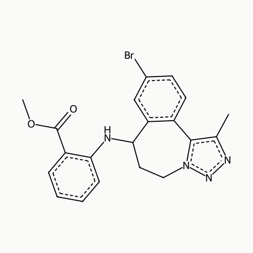 COC(=O)c1ccccc1NC1CCn2nnc(C)c2-c2ccc(Br)cc21